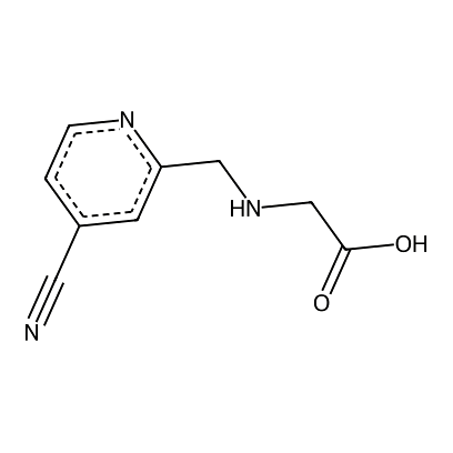 N#Cc1ccnc(CNCC(=O)O)c1